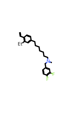 C=Cc1ccc(CCCCCCCN(C)Cc2ccc(F)c(F)c2)cc1CC